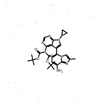 Cc1cn2c(-c3cn(C4CC4)c4ncnc(N(C(=O)OC(C)(C)C)C(=O)OC(C)(C)C)c34)ccc(N)c2n1